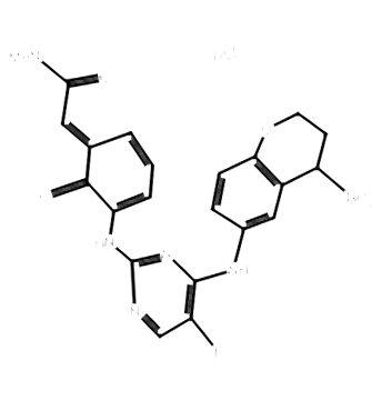 CNC(=O)C=C1C=CC=C(Nc2ncc(F)c(Nc3ccc4c(c3)C(N)CCO4)n2)C1=O.Cl